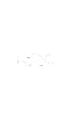 Cc1ccc(-c2ccc([N+](=O)[O-])cn2)c(C)c1C